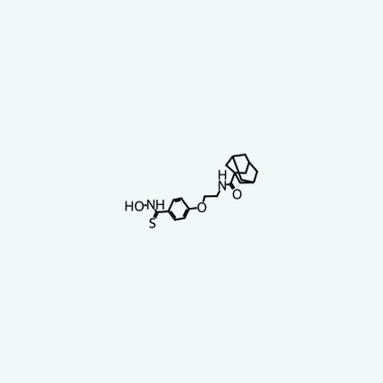 O=C(NCCOc1ccc(C(=S)NO)cc1)C12CC3CC(CC(C3)C1)C2